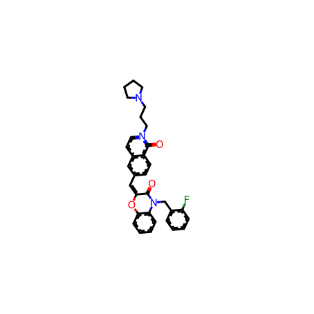 O=C1C(=Cc2ccc3c(=O)n(CCCN4CCCC4)ccc3c2)Oc2ccccc2N1Cc1ccccc1F